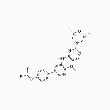 COc1ncc(-c2ccc(OC(F)F)cc2)cc1Nc1ccnc(N2C[C@@H](C)O[C@@H](C)C2)n1